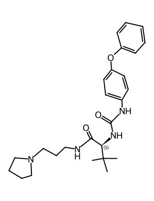 CC(C)(C)[C@H](NC(=O)Nc1ccc(Oc2ccccc2)cc1)C(=O)NCCCN1CCCC1